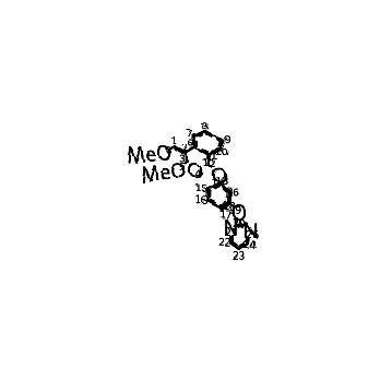 COC=C(C(=O)OC)c1ccccc1COc1cccc(Oc2ncccn2)c1